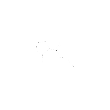 N#CCNC(=O)C1CCCC1CO